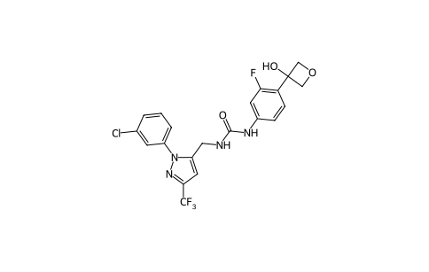 O=C(NCc1cc(C(F)(F)F)nn1-c1cccc(Cl)c1)Nc1ccc(C2(O)COC2)c(F)c1